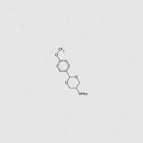 CCCCCCC1COC(c2ccc(OC(F)(F)F)cc2)OC1